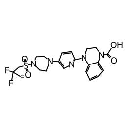 O=C(O)N1CCN(c2ccc(N3CCN(S(=O)(=O)CC(F)(F)F)CC3)cn2)c2ccccc21